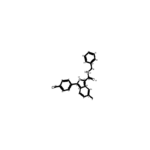 Cc1ccc2c(-c3ccc(Cl)cc3)oc(C(=O)NCc3ccccc3)c2c1